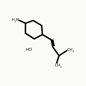 CC(C)/C=C/C1CCC(N)CC1.Cl